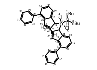 CCCC[SiH](CCCC)[Zr]([Cl])([Cl])([CH]1C(C)=Cc2c(-c3ccccc3)cccc21)[CH]1C(C)=Cc2c(-c3ccccc3)cccc21